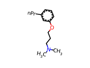 CCCc1cccc(OCCCN(C)C)c1